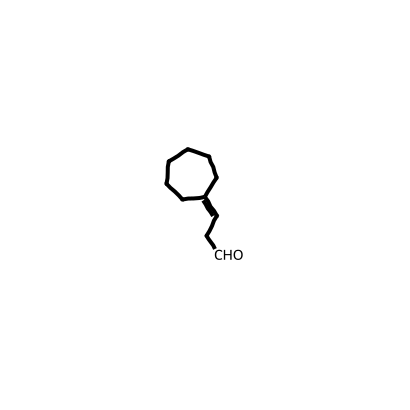 O=CCC=C1CCCCCC1